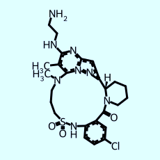 Cc1c(NCCN)nc2cc3nn2c1N(C)CCCS(=O)(=O)Nc1ccc(Cl)cc1C(=O)N1CCCC[C@@H]31